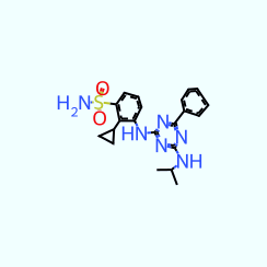 CC(C)Nc1nc(Nc2cccc(S(N)(=O)=O)c2C2CC2)nc(-c2ccccc2)n1